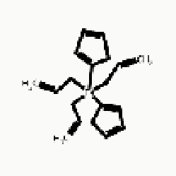 C=C[CH2][Ta]([CH2]C=C)([CH2]C=C)([C]1=CC=CC1)[C]1=CC=CC1